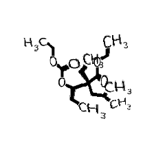 CCOC(=O)OC(CC)C(CC)(CC(C)C)C(=O)OCC